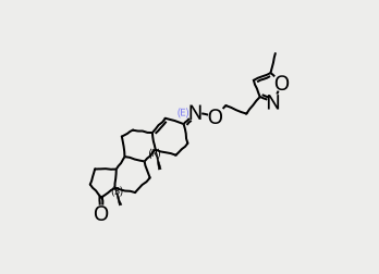 Cc1cc(CCO/N=C2/C=C3CCC4C(CC[C@]5(C)C(=O)CCC45)[C@@]3(C)CC2)no1